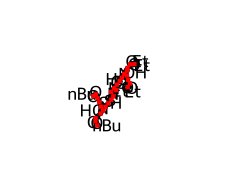 CCCCOC(=O)CCCCC(O)CN(CCCSSCCN1CCN(CCOC(=O)CCCN(CC(O)CCCC(=O)OC(CC)CC)CC(O)CCCC(=O)OC(CC)CC)CC1)CC(O)CCCCC(=O)OCCCC